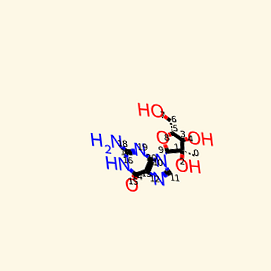 C[C@@]1(O)C(O)[C@@H](CO)O[C@H]1n1cnc2c(=O)[nH]c(N)nc21